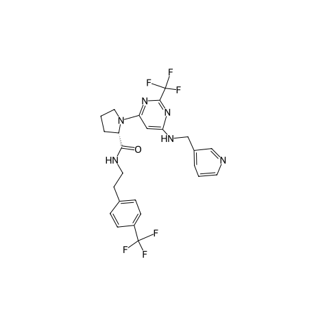 O=C(NCCc1ccc(C(F)(F)F)cc1)[C@@H]1CCCN1c1cc(NCc2cccnc2)nc(C(F)(F)F)n1